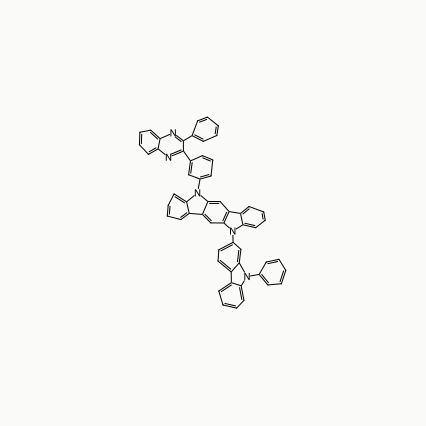 c1ccc(-c2nc3ccccc3nc2-c2cccc(-n3c4ccccc4c4cc5c(cc43)c3ccccc3n5-c3ccc4c5ccccc5n(-c5ccccc5)c4c3)c2)cc1